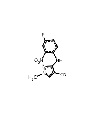 Cn1cc(C#N)c(Nc2ccc(F)cc2[N+](=O)[O-])n1